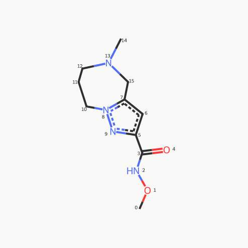 CONC(=O)c1cc2n(n1)CCCN(C)C2